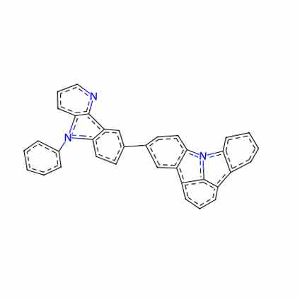 c1ccc(-n2c3ccc(-c4ccc5c(c4)c4cccc6c7ccccc7n5c64)cc3c3ncccc32)cc1